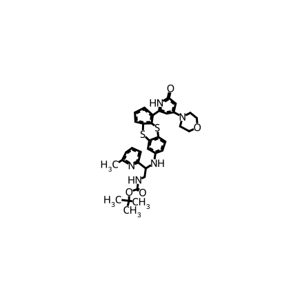 Cc1cccc(C(CNC(=O)OC(C)(C)C)Nc2ccc3c(c2)Sc2cccc(-c4cc(N5CCOCC5)cc(=O)[nH]4)c2S3)n1